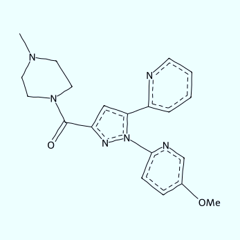 COc1ccc(-n2nc(C(=O)N3CCN(C)CC3)cc2-c2ccccn2)nc1